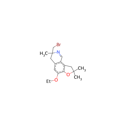 CCOc1cc2c(c3c1OC(C)(C)C3)C=NC(C)(CBr)C2